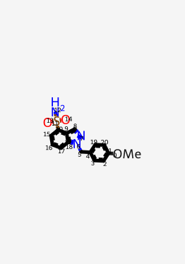 COc1ccc(Cn2ncc3c(S(N)(=O)=O)cccc32)cc1